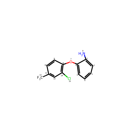 Nc1ccccc1Oc1ccc(C(F)(F)F)cc1Cl